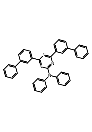 c1ccc(-c2cccc(-c3nc(-c4cccc(-c5ccccc5)c4)nc(N(c4ccccc4)c4ccccc4)n3)c2)cc1